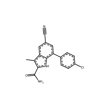 Cc1c(C(N)=O)[nH]c2c(-c3ccc(Cl)cc3)cc(C#N)cc12